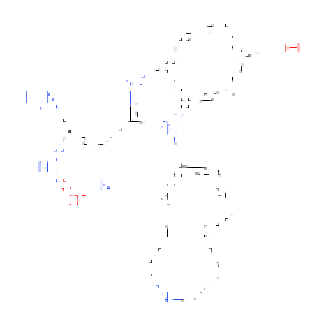 Nc1nonc1-c1nc2ccc(O)cc2n1-c1ccc2c(c1)CNCC2